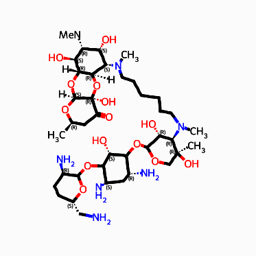 CN[C@H]1[C@H](O)[C@H]2O[C@@H]3O[C@H](C)CC(=O)[C@]3(O)O[C@@H]2[C@@H](N(C)CCCCCCN(C)[C@@H]2[C@@H](O)C(OC3[C@@H](O)C(OC4O[C@H](CN)CC[C@H]4N)[C@@H](N)C[C@H]3N)OC[C@]2(C)O)[C@H]1O